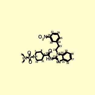 CN(C)S(=O)(=O)N1CCC(C(=O)Nc2nc3ccccc3n2CCc2cccc([N+](=O)[O-])c2)CC1